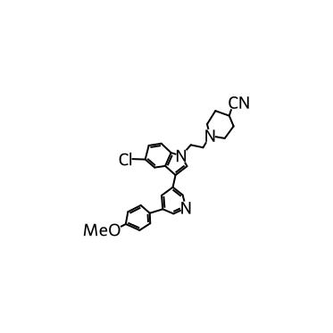 COc1ccc(-c2cncc(-c3cn(CCN4CCC(C#N)CC4)c4ccc(Cl)cc34)c2)cc1